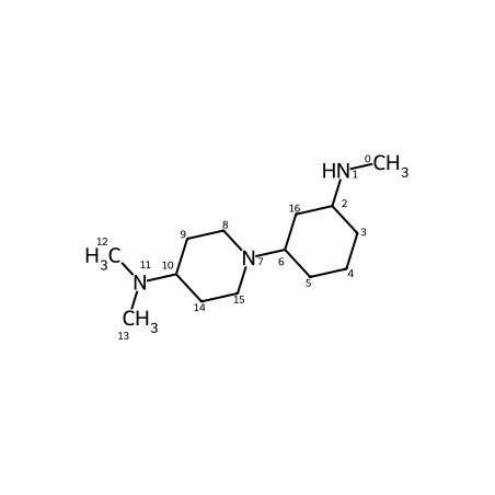 CNC1CCCC(N2CCC(N(C)C)CC2)C1